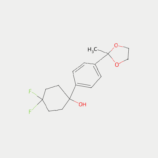 CC1(c2ccc(C3(O)CCC(F)(F)CC3)cc2)OCCO1